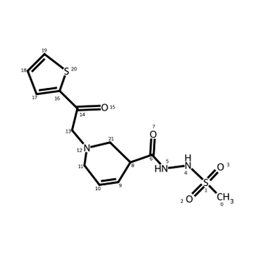 CS(=O)(=O)NNC(=O)C1C=CCN(CC(=O)c2cccs2)C1